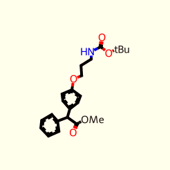 COC(=O)C(c1ccccc1)c1ccc(OCCCNC(=O)OC(C)(C)C)cc1